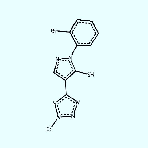 CCn1nnc(-c2cnn(-c3ccccc3Br)c2S)n1